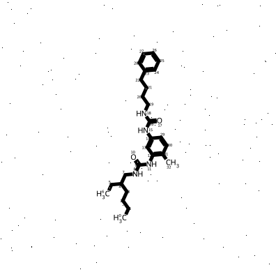 CCCCC(CC)CNC(=O)Nc1cc(NC(=O)NCCCCc2ccccc2)ccc1C